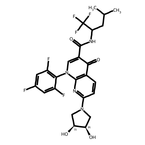 CC(C)CC(NC(=O)c1cn(-c2c(F)cc(F)cc2F)c2nc(N3C[C@@H](O)[C@@H](O)C3)ccc2c1=O)C(F)(F)F